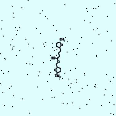 CC1CCC(COC(O)CCCC2CC[C@H](C)O2)O1